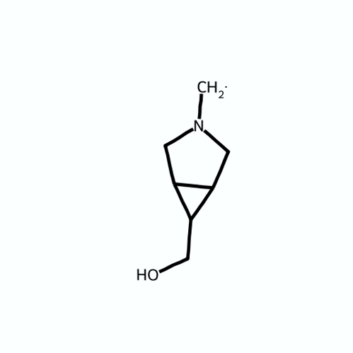 [CH2]N1CC2C(CO)C2C1